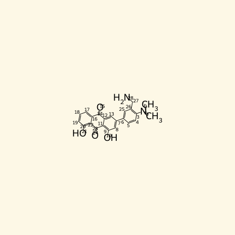 CN(C)c1ccc(-c2cc(O)c3c(c2)C(=O)c2cccc(O)c2C3=O)cc1CN